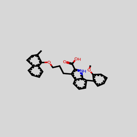 COc1ccccc1-c1cccc2c(CCCOc3c(C)ccc4ccccc34)c(C(=O)O)[nH]c12